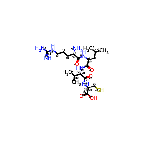 CC(C)C[C@H](NC(=O)[C@@H](N)CCCNC(=N)N)C(=O)N[C@H](C(=O)N[C@@H](CS)C(=O)O)C(C)C